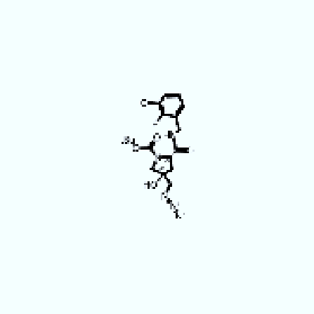 CC(C)(C)OC(=O)N1C[C@@](O)(CN=[N+]=[N-])C[C@H]1C(=O)NCc1cccc(Cl)c1F